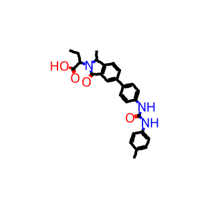 CCC(C(=O)O)N1C(=O)c2cc(-c3ccc(NC(=O)Nc4ccc(C)cc4)cc3)ccc2C1C